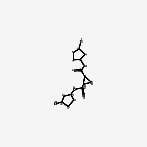 O=C(OC1CCC(Cl)C1)[C@H]1O[C@H]1C(=O)OC1CCC(Cl)C1